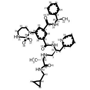 C[C@H](NC[C@H](Cc1ccccn1)NC(=O)c1cc(C(=O)N[C@H](C)c2ccccc2)cc(N2CCCNS2(=O)=O)c1)C(=O)NCC1CC1